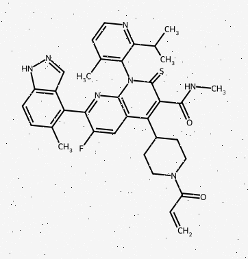 C=CC(=O)N1CCC(c2c(C(=O)NC)c(=S)n(-c3c(C)ccnc3C(C)C)c3nc(-c4c(C)ccc5[nH]ncc45)c(F)cc23)CC1